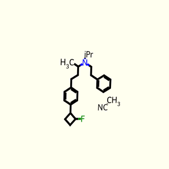 CC#N.CC(C)N(CCc1ccccc1)C(C)CCc1ccc(C2CCC2F)cc1